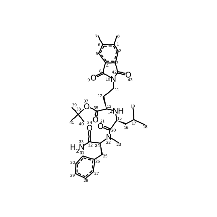 Cc1cc2c(cc1C)C(=O)N(CC[C@@H](N[C@@H](CC(C)C)C(=O)N(C)[C@@H](Cc1ccccc1)C(N)=O)C(=O)OC(C)(C)C)C2=O